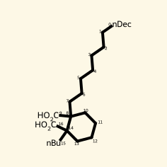 CCCCCCCCCCCCCCCCCC1(C(=O)O)CCCCC1(CCCC)C(=O)O